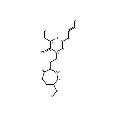 CC=CCCCN(CCC1OCCC(CC)CO1)C(=O)C(Cl)CC